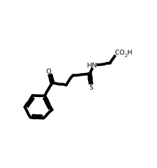 O=C(O)CNC(=S)CCC(=O)c1ccccc1